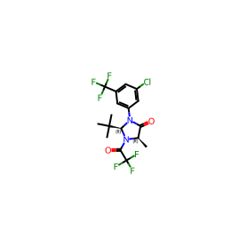 C[C@@H]1C(=O)N(c2cc(Cl)cc(C(F)(F)F)c2)[C@H](C(C)(C)C)N1C(=O)C(F)(F)F